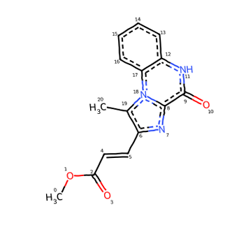 COC(=O)C=Cc1nc2c(=O)[nH]c3ccccc3n2c1C